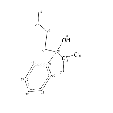 [CH2-][C+](C)C(O)(CCCC)c1ccccc1